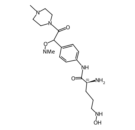 CNOC(C(=O)N1CCN(C)CC1)c1ccc(NC(=O)[C@@H](N)CCCNO)cc1